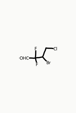 O=[C]C(F)(F)C(Br)CCl